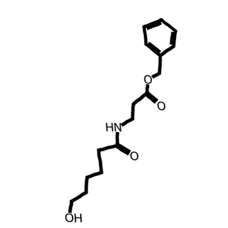 O=C(CCCCCO)NCCC(=O)OCc1ccccc1